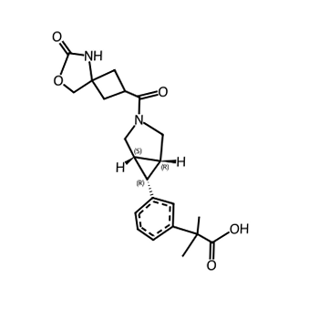 CC(C)(C(=O)O)c1cccc([C@@H]2[C@@H]3CN(C(=O)C4CC5(COC(=O)N5)C4)C[C@@H]32)c1